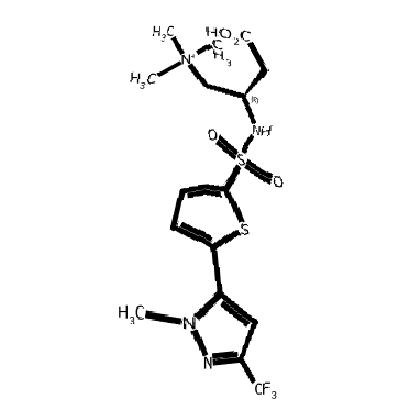 Cn1nc(C(F)(F)F)cc1-c1ccc(S(=O)(=O)N[C@H](CC(=O)O)C[N+](C)(C)C)s1